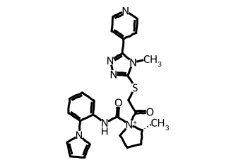 C[C@@H]1CCC[N+]1(C(=O)CSc1nnc(-c2ccncc2)n1C)C(=O)Nc1ccccc1-n1cccc1